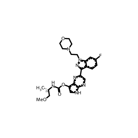 COC[C@H](C)NC(=O)Oc1c[nH]c2ncc(-c3nn(CCN4CCOCC4)c4cc(F)ccc34)nc12